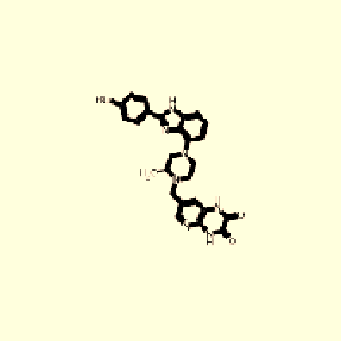 C[C@H]1CN(c2cccc3[nH]c(-c4ccc(C(C)(C)C)cc4)nc23)CCN1Cc1cnc2[nH]c(=O)c(=O)[nH]c2c1